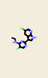 CCNc1nc(-c2c[nH]c3ncc(Cl)cc23)ncc1F